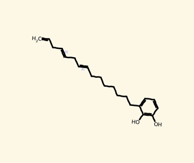 C=CC/C=C/C/C=C/CCCCCCCc1cccc(O)c1O